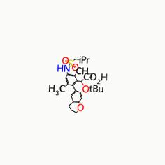 Cc1cc(NS(=O)(=O)CC(C)C)c(C)c(C(OC(C)(C)C)C(=O)O)c1-c1ccc2c(c1)CCCO2